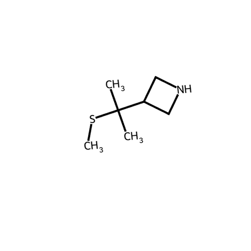 CSC(C)(C)C1CNC1